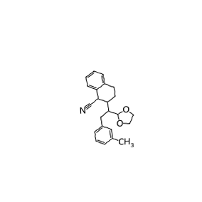 Cc1cccc(CC(C2OCCO2)C2CCc3ccccc3C2C#N)c1